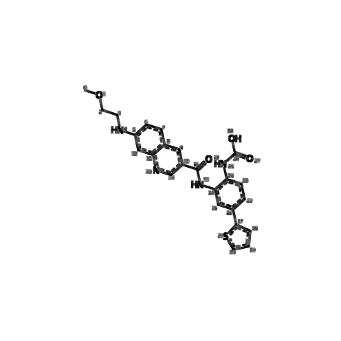 COCCNc1ccc2cc(C(=O)Nc3cc(-c4cccs4)ccc3NC(=O)O)cnc2c1